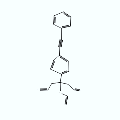 C=CCC(CC=C)(NC=O)c1ccc(C#Cc2ccccc2)cc1